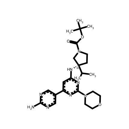 CC(C)[C@]1(Nc2cc(-c3cnc(N)nc3)nc(N3CCOCC3)n2)CCN(C(=O)OC(C)(C)C)C1